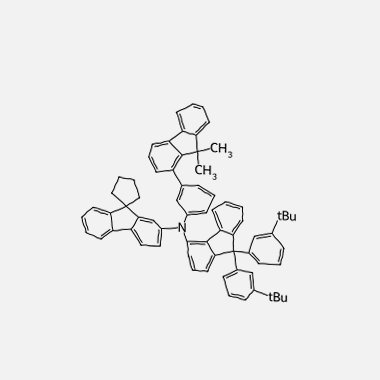 CC(C)(C)c1cccc(C2(c3cccc(C(C)(C)C)c3)c3ccccc3-c3c(N(c4cccc(-c5cccc6c5C(C)(C)c5ccccc5-6)c4)c4ccc5c(c4)C4(CCCC4)c4ccccc4-5)cccc32)c1